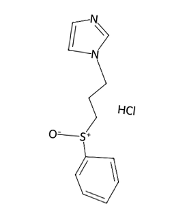 Cl.[O-][S+](CCCn1ccnc1)c1ccccc1